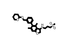 Cc1cc2c(c(C)c1-c1cccc(COC3CCCCO3)c1)C(NCCCS(C)(=O)=O)CO2